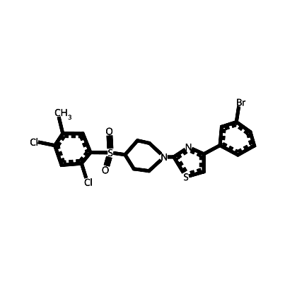 Cc1cc(S(=O)(=O)C2CCN(c3nc(-c4cccc(Br)c4)cs3)CC2)c(Cl)cc1Cl